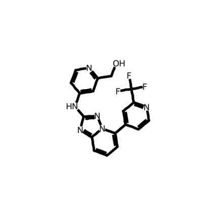 OCc1cc(Nc2nc3cccc(-c4ccnc(C(F)(F)F)c4)n3n2)ccn1